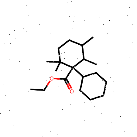 CCOC(=O)C1(C2CCCCC2)C(C)C(C)CCC1(C)C